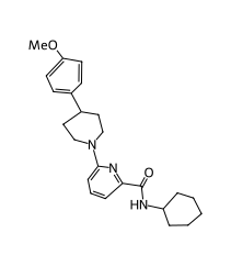 COc1ccc(C2CCN(c3cccc(C(=O)NC4CCCCC4)n3)CC2)cc1